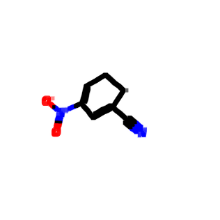 N#CC1=CC([N+](=O)[O-])=CC[CH]1